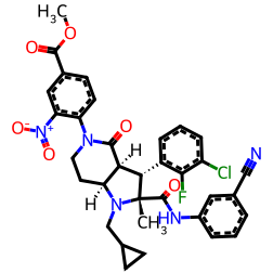 COC(=O)c1ccc(N2CC[C@H]3[C@@H](C2=O)[C@H](c2cccc(Cl)c2F)[C@](C)(C(=O)Nc2cccc(C#N)c2)N3CC2CC2)c([N+](=O)[O-])c1